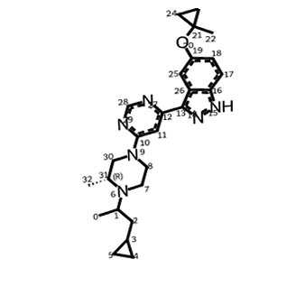 CC(CC1CC1)N1CCN(c2cc(-c3n[nH]c4ccc(OC5(C)CC5)cc34)ncn2)C[C@H]1C